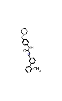 Cc1ccccc1-c1cccc(/C=C/C(=O)Nc2ccc(CN3CCCCC3)cc2)c1